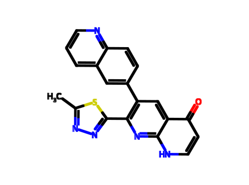 Cc1nnc(-c2nc3[nH]ccc(=O)c3cc2-c2ccc3ncccc3c2)s1